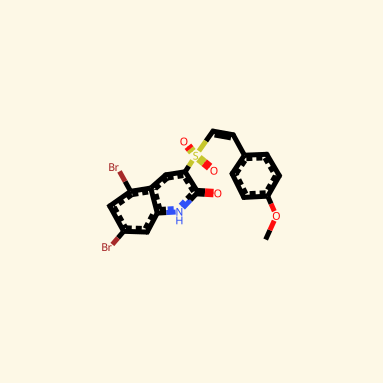 COc1ccc(/C=C\S(=O)(=O)c2cc3c(Br)cc(Br)cc3[nH]c2=O)cc1